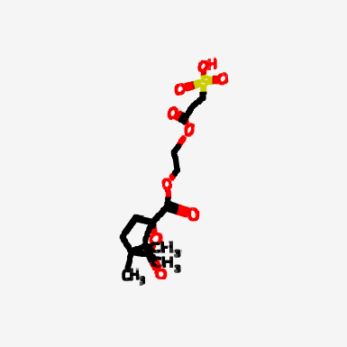 CC12CCC(C(=O)OCCOC(=O)CS(=O)(=O)O)(OC1=O)C2(C)C